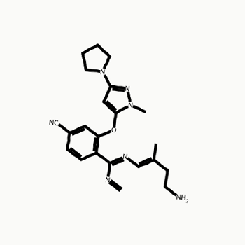 C=N/C(=N\C=C(/C)CCN)c1ccc(C#N)cc1Oc1cc(N2CCCC2)nn1C